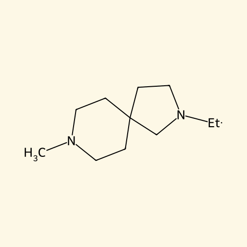 C[CH]N1CCC2(CCN(C)CC2)C1